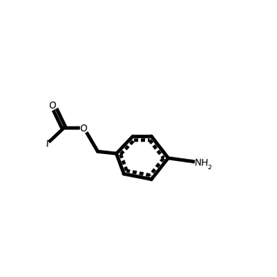 Nc1ccc(COC(=O)I)cc1